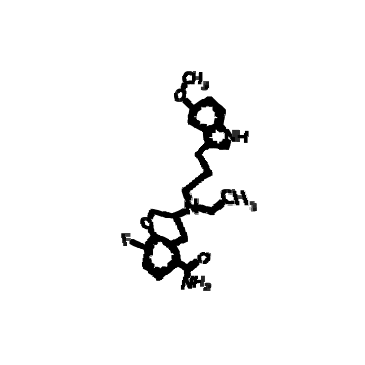 CCN(CCCc1c[nH]c2ccc(OC)cc12)C1COc2c(F)ccc(C(N)=O)c2C1